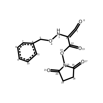 O=C=C(NOCc1ccccc1)C(=O)ON1C(=O)CCC1=O